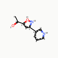 CC(=O)c1cc(-c2cccnc2)no1